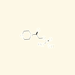 O=C(COP(=O)(O)O)N1CCOCC1